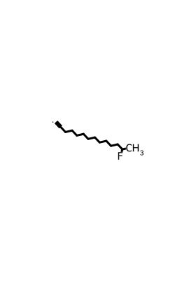 [C]#CCCCCCCCCCCC(C)F